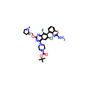 CN1CCC[C@H]1COc1nc(N2CCN(C(=O)OC(C)(C)C)CC2)c2cc(Cl)c(-c3cccc4sc(N)nc34)c(F)c2n1